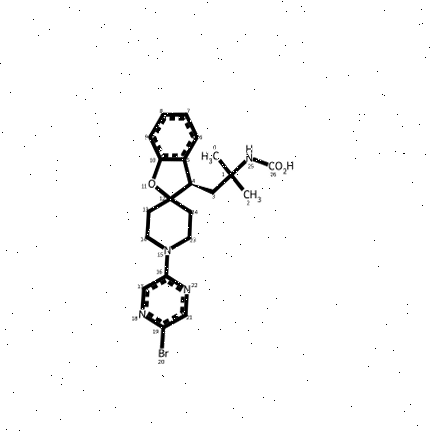 CC(C)(C[C@@H]1c2ccccc2OC12CCN(c1cnc(Br)cn1)CC2)NC(=O)O